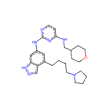 c1cc(NCC2CCOCC2)nc(Nc2cc(CCCCN3CCCC3)c3cn[nH]c3c2)n1